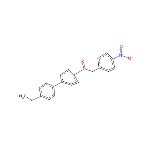 CCc1ccc(-c2ccc(C(=O)Cc3ccc([N+](=O)[O-])cc3)cc2)cc1